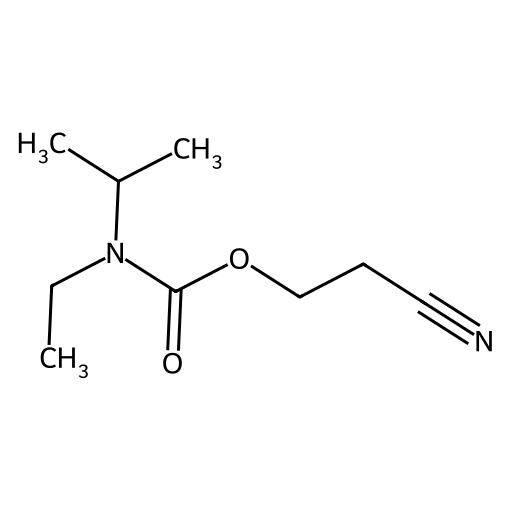 CCN(C(=O)OCCC#N)C(C)C